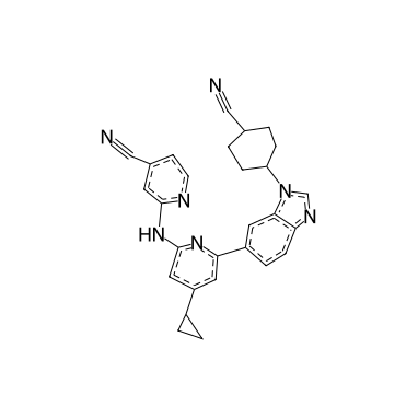 N#Cc1ccnc(Nc2cc(C3CC3)cc(-c3ccc4ncn(C5CCC(C#N)CC5)c4c3)n2)c1